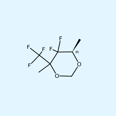 C[C@H]1OCOC(C)(C(F)(F)F)C1(F)F